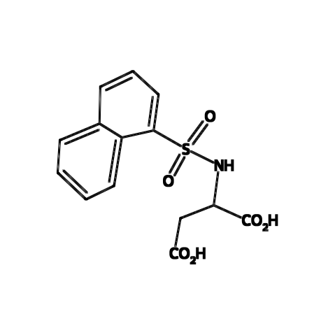 O=C(O)CC(NS(=O)(=O)c1cccc2ccccc12)C(=O)O